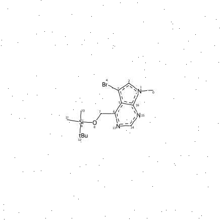 Cn1cc(Br)c2c(CO[Si](C)(C)C(C)(C)C)ncnc21